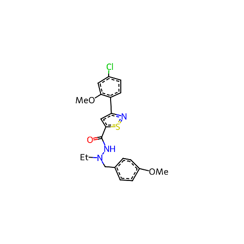 CCN(Cc1ccc(OC)cc1)NC(=O)c1cc(-c2ccc(Cl)cc2OC)ns1